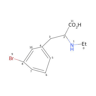 CCNC(Cc1cccc(Br)c1)C(=O)O